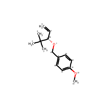 [CH2]C(C)(C)[C@H](C=C)OCc1ccc(OC)cc1